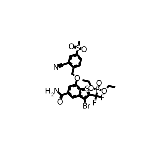 CCOP(=O)(OCC)C(F)(F)c1sc2c(OCc3ccc(S(C)(=O)=O)cc3C#N)cc(C(N)=O)cc2c1Br